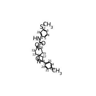 CSc1cccc(NC(=O)ON2CCC3(CC2)CC(c2ccc(C)cc2)=NO3)c1